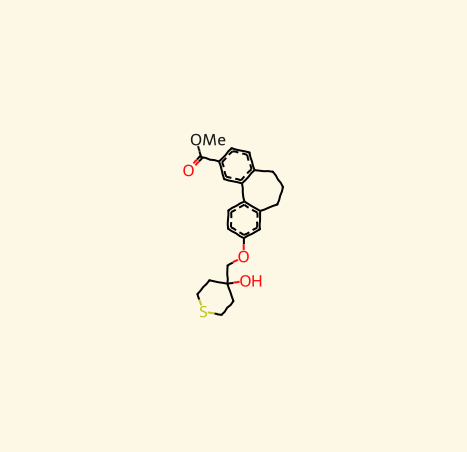 COC(=O)c1ccc2c(c1)-c1ccc(OCC3(O)CCSCC3)cc1CCC2